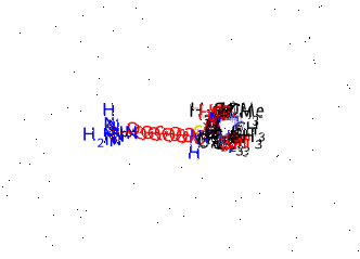 CO[C@H]1C[C@@H]2CC[C@@H](C)[C@@](O)(O2)C(=O)C(=O)N2CCCC[C@H]2C(=O)O[C@H]([C@H](N)C[C@@H]2CC[C@@H](OC(=S)NCCOCCOCCOCCOCCOCCOCCOCCOCCC(=O)N3CCc4cc(Cn5nc(-c6cnc7[nH]ccc7c6)c6c(N)ncnc65)ccc4C3)[C@H](OC)C2)CC[C@H](C)/C=C(\C)[C@@H](O)[C@@H](O)C(=O)[C@H](C)C[C@H](C)/C=C/C=C/C=C/1C